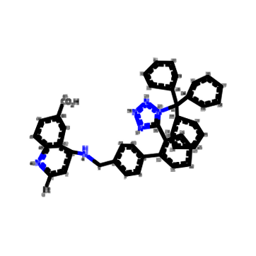 CCc1cc(NCc2ccc(-c3ccccc3-c3nnnn3C(c3ccccc3)(c3ccccc3)c3ccccc3)cc2)c2cc(C(=O)O)ccc2n1